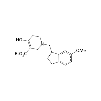 CCOC(=O)C1=C(O)CCN(CC2CCc3ccc(OC)cc32)C1